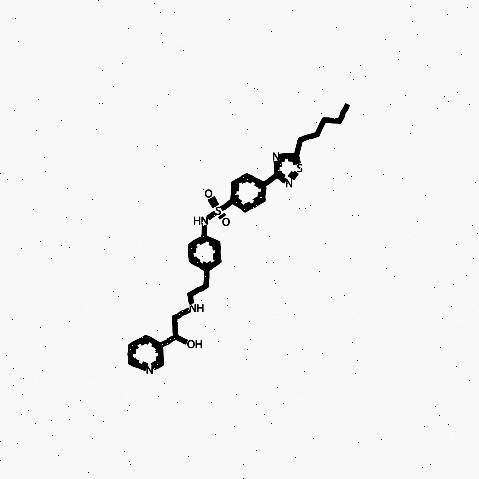 CCCCCc1nc(-c2ccc(S(=O)(=O)Nc3ccc(CCNCC(O)c4cccnc4)cc3)cc2)ns1